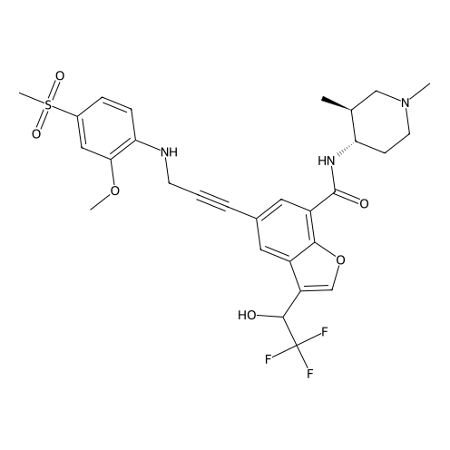 COc1cc(S(C)(=O)=O)ccc1NCC#Cc1cc(C(=O)N[C@H]2CCN(C)C[C@@H]2C)c2occ(C(O)C(F)(F)F)c2c1